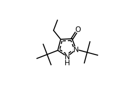 CCc1c(C(C)(C)C)[nH]n(C(C)(C)C)c1=O